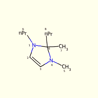 CCCN1C=CN(C)C1(C)CCC